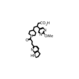 COc1ncc(C(CC(=O)O)CC2CCN(C(=O)CCc3ccc4c(n3)NCCC4)CC2)cn1